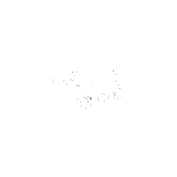 C=N/C(=C\C=C(/C)C(F)(F)C(=O)N[C@H](C(=O)NCc1ccc(C[C@@H](NC(=O)CC)C(=O)N2CCN(C)CC2)cc1)C1CCCCC1)OC